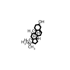 CN(C)[C@H]1CC[C@H]2[C@@H]3CC=C4C[C@H](O)CC[C@]4(C)[C@H]3CC[C@]12C